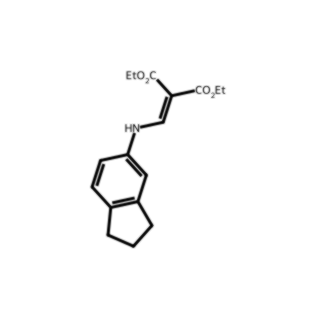 CCOC(=O)C(=CNc1ccc2c(c1)CCC2)C(=O)OCC